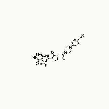 N#Cc1ccc(N2CCN(C(=O)C[C@@H]3CC[C@H](CNc4cn[nH]c(=O)c4C(F)(F)F)C3=O)CC2)nc1